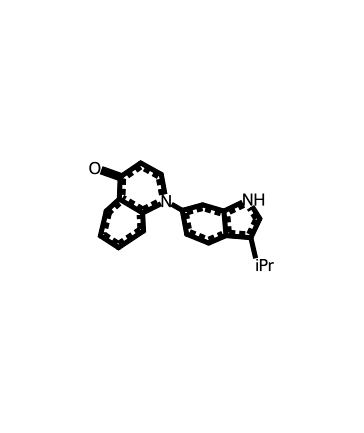 CC(C)c1c[nH]c2cc(-n3ccc(=O)c4ccccc43)ccc12